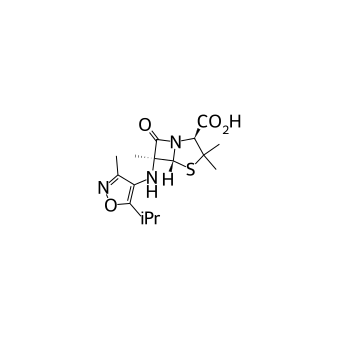 Cc1noc(C(C)C)c1N[C@@]1(C)C(=O)N2[C@@H](C(=O)O)C(C)(C)S[C@@H]21